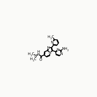 Cc1cccc(-c2nc3cc(C(=O)NN(C)C)ccn3c2-c2ccnc(N)n2)n1